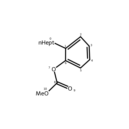 CCCCCCCc1ccccc1OC(=O)OC